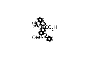 COc1ccc2c(c1OCc1ccccc1)CC(C(=O)O)N(C(=O)C(OC1COC1)c1ccccc1)C2